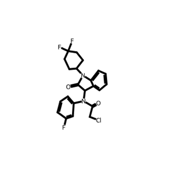 O=C1C(N(C(=O)CCl)c2cccc(F)c2)c2ccccc2N1C1CCC(F)(F)CC1